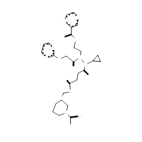 N=C(N)N1CCC[C@@H](CNC(=O)CCC(=O)N(C2CC2)N(CCNC(=O)c2cnccn2)C(=O)CSc2ncccn2)C1